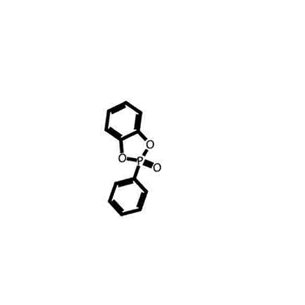 O=P1(c2ccccc2)Oc2ccccc2O1